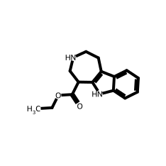 CCOC(=O)C1CNCCc2c1[nH]c1ccccc21